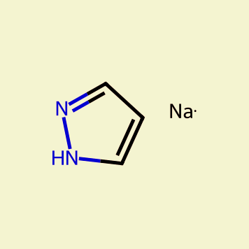 [Na].c1cn[nH]c1